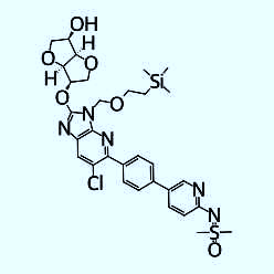 C[Si](C)(C)CCOCn1c(O[C@@H]2CO[C@H]3[C@@H]2OC[C@H]3O)nc2cc(Cl)c(-c3ccc(-c4ccc(N=S(C)(C)=O)nc4)cc3)nc21